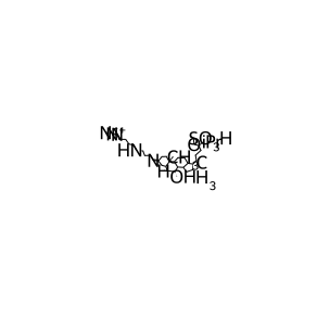 CC(C)[C@@H](CC[C@@H](C)[C@H]1CCC2C3C(CCC21)[C@@]1(C)CC/C(=N\CCCNCCCCN=[N+]=[N-])C[C@@H]1C[C@H]3O)OS(=O)(=O)O